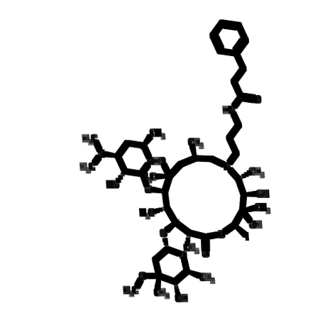 CO[C@]1(C)C[C@H](O[C@H]2[C@H](C)[C@@H](O[C@@H]3O[C@H](C)C[C@H](N(C)C)[C@H]3O)[C@](C)(O)C[C@@H](C)CN(CCCNC(=O)CCc3ccccc3)[C@H](C)[C@@H](O)[C@](C)(O)[C@@H](I)OC(=O)[C@@H]2C)O[C@@H](C)[C@@H]1O